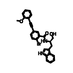 COc1ccccc1C#Cc1ccc(Br)c(C(=O)N[C@@H](CO)Cc2c[nH]c3ccccc23)c1